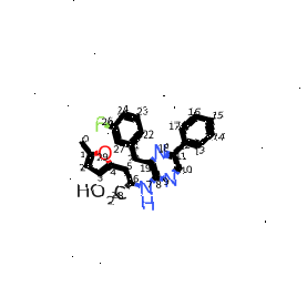 Cc1ccc(CC(Nc2ncc(-c3ccccc3)nc2Cc2cccc(F)c2)C(=O)O)o1